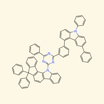 c1ccc(-c2ccc3c(c2)c2c(-c4cccc(-c5nc(-c6ccccc6)nc(-n6c7ccccc7c7ccc8c(c76)-c6ccccc6C8(c6ccccc6)c6ccccc6)n5)c4)cccc2n3-c2ccccc2)cc1